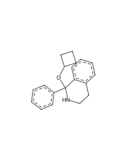 c1ccc(C2(OC3CCC3)NCCc3ccccc32)cc1